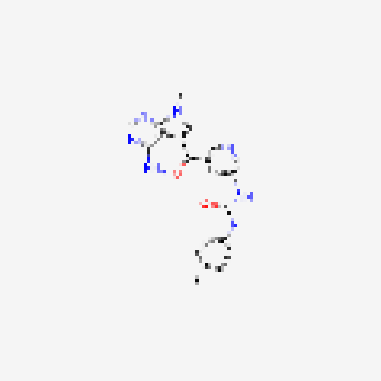 Cc1ccc(NC(=O)Nc2cncc(C(=O)c3cn(C)c4ncnc(N)c34)c2)cc1